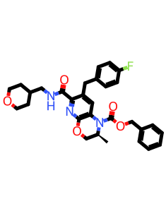 C[C@H]1COc2nc(C(=O)NCC3CCOCC3)c(Cc3ccc(F)cc3)cc2N1C(=O)OCc1ccccc1